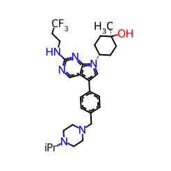 CC(C)N1CCN(Cc2ccc(-c3cn([C@H]4CC[C@](C)(O)CC4)c4nc(NCCC(F)(F)F)ncc34)cc2)CC1